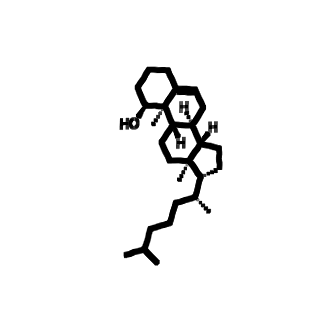 CC(C)CCC[C@@H](C)[C@H]1CC[C@H]2[C@@H]3CC=C4CCC[C@H](O)[C@]4(C)[C@H]3CC[C@]12C